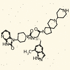 Cc1cc(C[C@H](NC(=O)N2CCC(n3c(=O)[nH]c4ncccc43)CC2)C(=O)N2CCC3(CCN(C4CCNCC4)CC3)C2)cc2cn[nH]c12